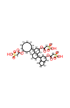 O=C(CS(=O)(=O)O)OC1CCCCCCC(C2CC(OC(=O)CS(=O)(=O)O)CC3C2CCCC3C2CC(OC(=O)CS(=O)(=O)O)CC3CCCC32)CC1